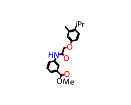 COC(=O)c1cccc(NC(=O)COc2ccc(C(C)C)c(C)c2)c1